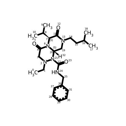 CCN1CC(=O)N2[C@@H](C(C)C)C(=O)N(CCC(C)C)C[C@@H]2N1C(=O)NCc1ccccc1